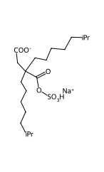 CC(C)CCCCCC(CCCCCC(C)C)(CC(=O)[O-])C(=O)OS(=O)(=O)O.[Na+]